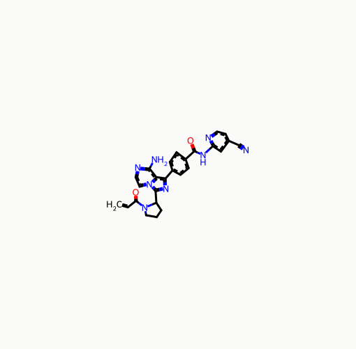 C=CC(=O)N1CCCC1c1nc(-c2ccc(C(=O)Nc3cc(C#N)ccn3)cc2)c2c(N)nccn12